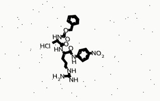 CC(NC(=O)OCc1ccccc1)C(=O)NC(CCCNC(=N)N)C(=O)Nc1ccc([N+](=O)[O-])cc1.Cl